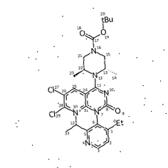 CCc1ccnc2c1-n1c(=O)nc(N3[C@@H](C)CN(C(=O)OC(C)(C)C)C[C@@H]3C)c3cc(Cl)c(Cl)[n+](c31)C2C